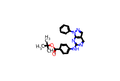 CC(C)(C)OC(=O)c1ccc(Nc2ncc3cnn(-c4ccccc4)c3n2)cc1